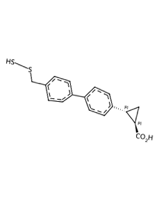 O=C(O)[C@@H]1C[C@H]1c1ccc(-c2ccc(CSS)cc2)cc1